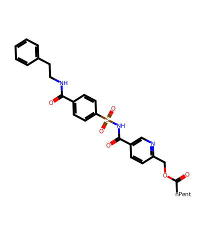 CCCCCC(=O)OCc1ccc(C(=O)NS(=O)(=O)c2ccc(C(=O)NCCc3ccccc3)cc2)cn1